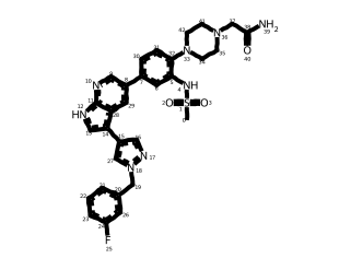 CS(=O)(=O)Nc1cc(-c2cnc3[nH]cc(-c4cnn(Cc5cccc(F)c5)c4)c3c2)ccc1N1CCN(CC(N)=O)CC1